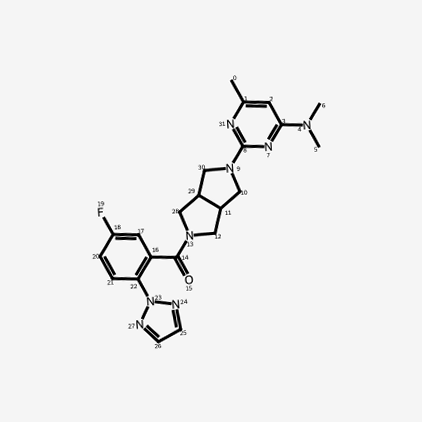 Cc1cc(N(C)C)nc(N2CC3CN(C(=O)c4cc(F)ccc4-n4nccn4)CC3C2)n1